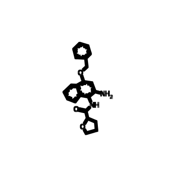 Nc1cc(OCc2ccccc2)c2ccccc2c1NC(=O)C1CCCO1